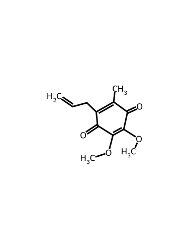 C=CCC1=C(C)C(=O)C(OC)=C(OC)C1=O